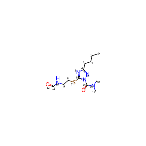 CCCCc1nc(SCCNC=O)n(C(=O)N(C)C)n1